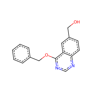 OCc1ccc2ncnc(OCc3ccccc3)c2c1